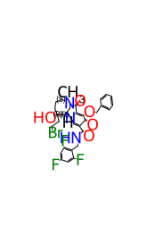 C[C@H]1CC[C@@](O)(CCBr)[C@H]2CN1C(=O)c1c(OCc3ccccc3)c(=O)c(C(=O)NCc3c(F)cc(F)cc3F)cn12